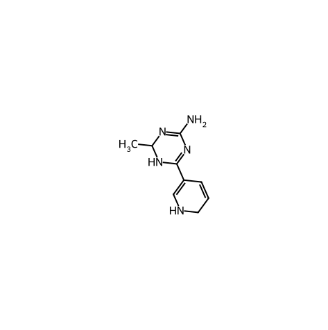 CC1N=C(N)N=C(C2=CNCC=C2)N1